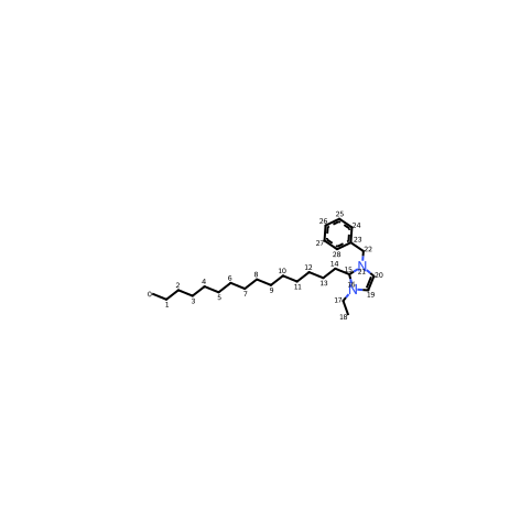 CCCCCCCCCCCCCCCC1N(CC)C=CN1Cc1ccccc1